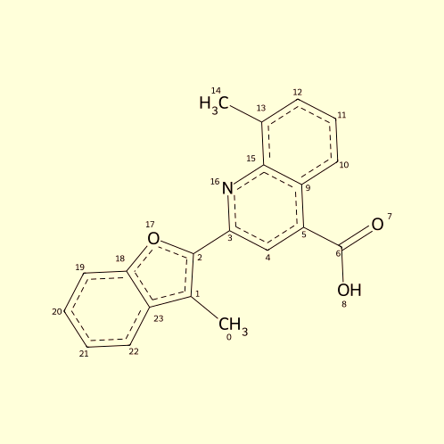 Cc1c(-c2cc(C(=O)O)c3cccc(C)c3n2)oc2ccccc12